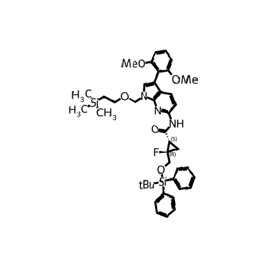 COc1cccc(OC)c1-c1cn(COCC[Si](C)(C)C)c2nc(NC(=O)[C@@H]3C[C@]3(F)CO[Si](c3ccccc3)(c3ccccc3)C(C)(C)C)ccc12